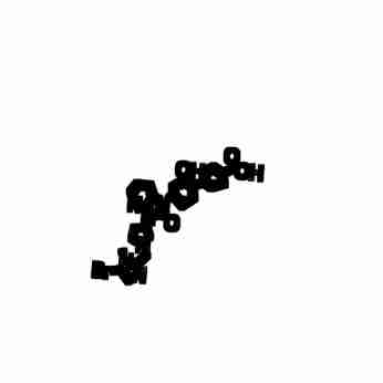 Cn1c(Br)cnc1CN1CCC(n2c(=O)n(-c3ccc(-c4ccc(C(=O)O)cc4)c(O)c3)c3cccnc32)C1